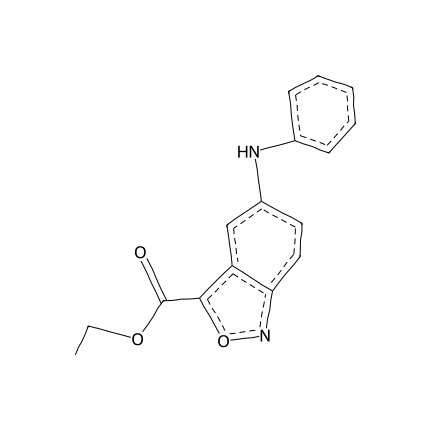 CCOC(=O)c1onc2ccc(Nc3ccccc3)cc12